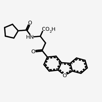 O=C(CC(NC(=O)C1CCCC1)C(=O)O)c1ccc2oc3ccccc3c2c1